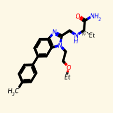 CCOCCn1c(CN[C@@H](CC)C(N)=O)nc2ccc(-c3ccc(C)cc3)cc21